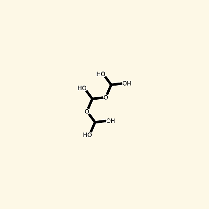 OC(O)OC(O)OC(O)O